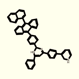 C1=CNCC(c2ccc(C3=NC(c4ccc(-c5c6ccccc6c(-c6cccc7ccccc67)c6ccccc56)cc4)NC(c4ccccc4)=C3)cc2)=C1